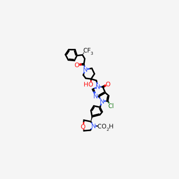 O=C(C[C@H](c1ccccc1)C(F)(F)F)N1CCC(O)(Cn2cnc3c(cc(Cl)n3-c3ccc([C@@H]4COCCN4C(=O)O)cc3)c2=O)CC1